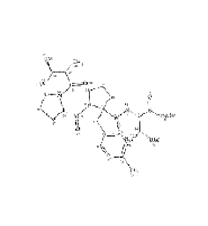 COC(=O)[C@@H](NC(=O)C1(Cc2ccc(C)cc2)CCCN1C(=O)[C@@H]1CCCN1C(=O)[C@@H](C)[C@@H](C)OC(C)=O)[C@@H](C)OC(C)=O